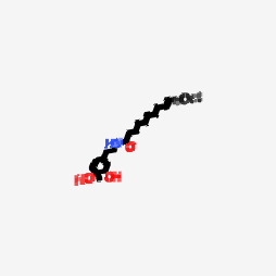 CCCCCCCCC=CCCCCCCCC(=O)NCCC1=CC(O)C(C)(O)C=C1